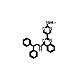 CNc1ncc(-c2nc(NCC(c3ccccc3)c3ccccc3)c3ccccc3n2)cn1